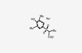 CCCCC(C(=O)[O-])S(=O)(=O)c1cc(C(C)(C)C)c(O)c(C(C)(C)C)c1.[Na+]